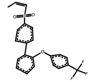 C/C=C\S(=O)(=O)c1ccc(-c2ccccc2Oc2ccc(C(F)(F)F)cc2)cc1